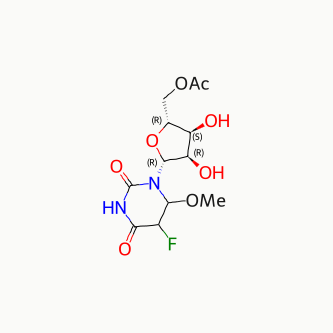 COC1C(F)C(=O)NC(=O)N1[C@@H]1O[C@H](COC(C)=O)[C@@H](O)[C@H]1O